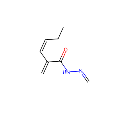 C=NNC(=O)C(=C)/C=C\CC